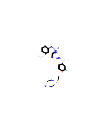 COc1ccc(OC)c(CN(C(=O)O)c2ccnc(Nc3ccc(OCCN4CCN(C)CC4)c(F)c3)n2)c1